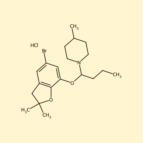 CCCC(Oc1cc(Br)cc2c1OC(C)(C)C2)N1CCC(C)CC1.Cl